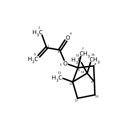 C=C(C)C(=O)OC1(C)CC2CCC1(C)C2(C)C